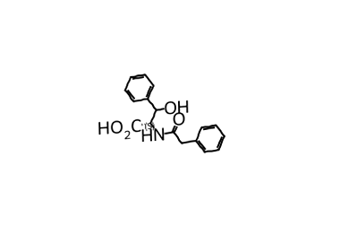 O=C(Cc1ccccc1)N[C@H](C(=O)O)C(O)c1ccccc1